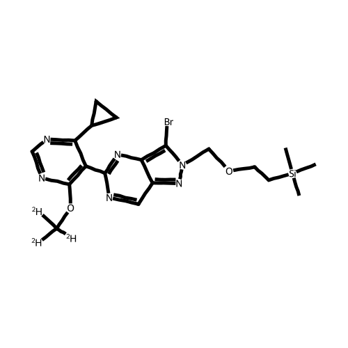 [2H]C([2H])([2H])Oc1ncnc(C2CC2)c1-c1ncc2nn(COCC[Si](C)(C)C)c(Br)c2n1